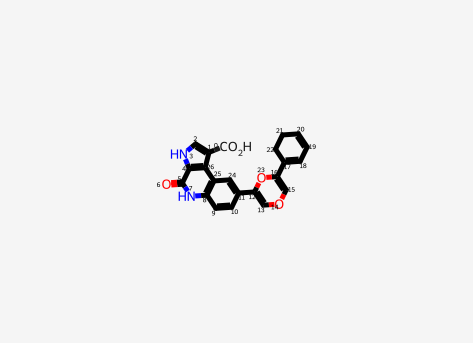 O=C(O)c1c[nH]c2c(=O)[nH]c3ccc(C4=COC=C(C5=CC=CCC5)O4)cc3c12